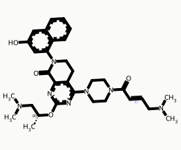 C[C@H](CN(C)C)Oc1nc2c(c(N3CCN(C(=O)/C=C/CN(C)C)CC3)n1)CCN(c1cc(O)cc3ccccc13)C2=O